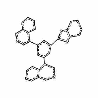 c1ccc2c(-c3cc(-c4nc5ccccc5s4)cc(-c4cncc5ccccc45)c3)cncc2c1